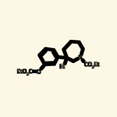 CCOC(=O)Oc1cccc(C2(CC)CCCCN(C(=O)OCC)C2)c1